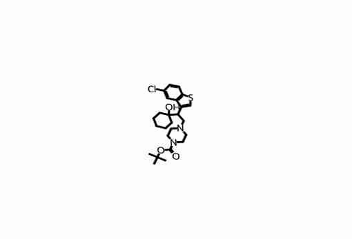 CC(C)(C)OC(=O)N1CCN(CC(c2csc3ccc(Cl)cc23)C2(O)CCCCC2)CC1